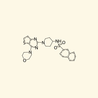 O=S(=O)(NC1CCN(c2nc(N3CCOCC3)c3sccc3n2)CC1)c1ccc2ccccc2c1